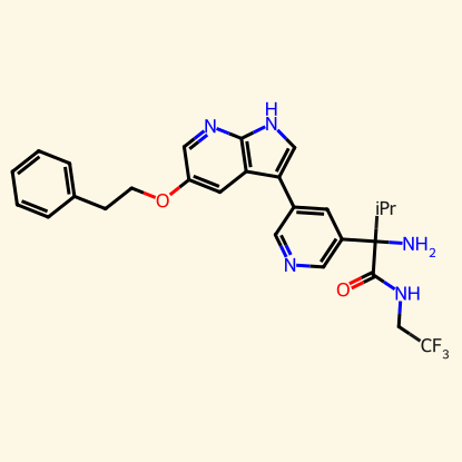 CC(C)C(N)(C(=O)NCC(F)(F)F)c1cncc(-c2c[nH]c3ncc(OCCc4ccccc4)cc23)c1